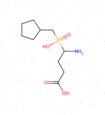 NC(CCC(=O)O)P(=O)(O)CC1CCCC1